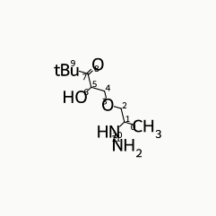 CC(COCC(O)C(=O)C(C)(C)C)NN